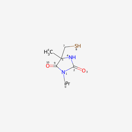 CC(C)N1C(=O)NC(C)(CS)C1=O